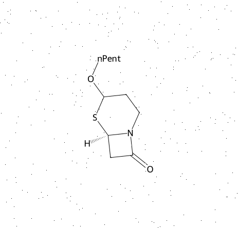 CCCCCOC1CCN2C(=O)C[C@H]2S1